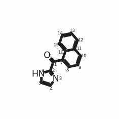 O=C(c1ncc[nH]1)c1cccc2ccccc12